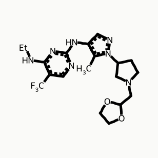 CCNc1nc(Nc2cnn(C3CCN(CC4OCCO4)C3)c2C)ncc1C(F)(F)F